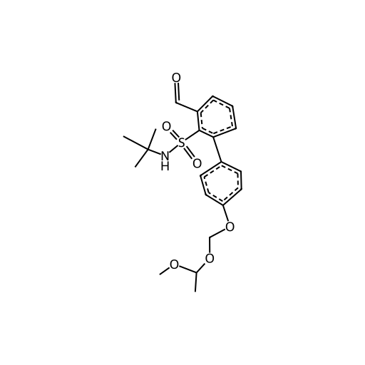 COC(C)OCOc1ccc(-c2cccc(C=O)c2S(=O)(=O)NC(C)(C)C)cc1